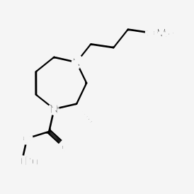 COCCCN1CCCN(C(=O)OC(C)(C)C)[C@@H](C)C1